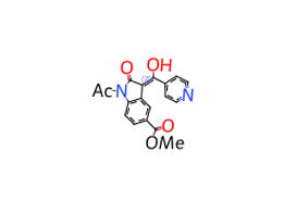 COC(=O)c1ccc2c(c1)/C(=C(/O)c1ccncc1)C(=O)N2C(C)=O